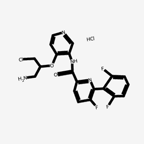 Cl.NCC(CCl)Oc1ccncc1NC(=O)c1ccc(F)c(-c2c(F)cccc2F)n1